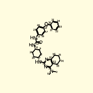 CN(C)c1nc(N[C@H]2CC[C@@H](NC(=O)Nc3ccc(Oc4ccccc4)cc3)CC2)nc2c1CCCC2